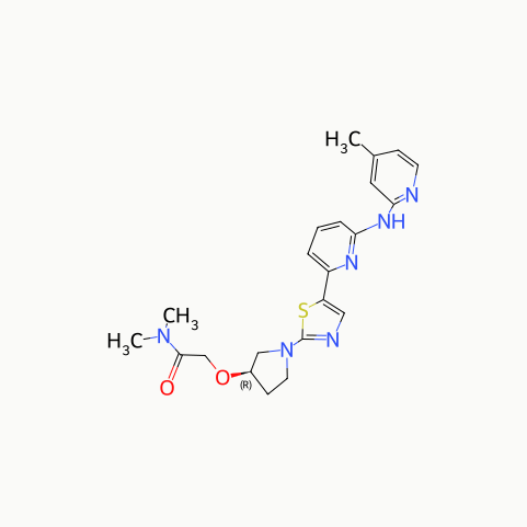 Cc1ccnc(Nc2cccc(-c3cnc(N4CC[C@@H](OCC(=O)N(C)C)C4)s3)n2)c1